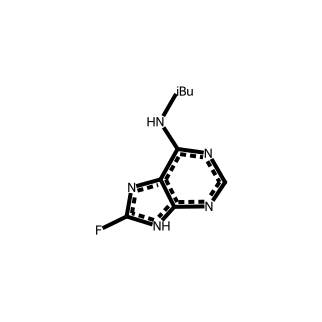 CCC(C)Nc1ncnc2[nH]c(F)nc12